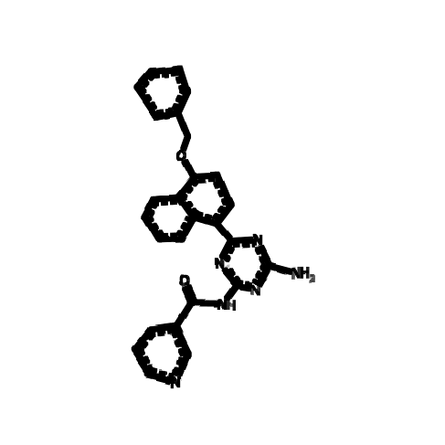 Nc1nc(NC(=O)c2cccnc2)nc(-c2ccc(OCc3ccccc3)c3ccccc23)n1